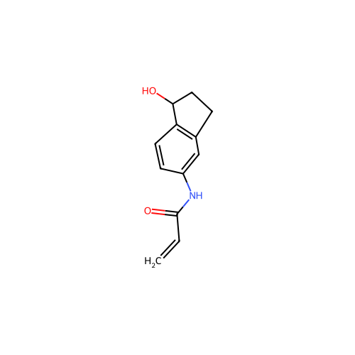 C=CC(=O)Nc1ccc2c(c1)CCC2O